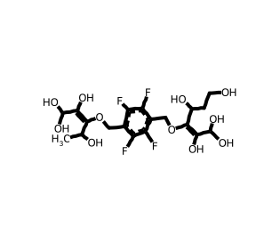 CC(O)/C(OCc1c(F)c(F)c(CO/C(=C(\O)C(O)O)C(O)CCO)c(F)c1F)=C(/O)C(O)O